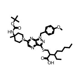 CCCCCC(CC)C(CSc1nn(Cc2ccc(OC)cc2)c2nc(N3CCC(C)(NC(=O)OC(C)(C)C)CC3)cnc12)C(=O)O